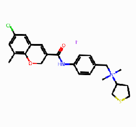 Cc1cc(Cl)cc2c1OCC(C(=O)Nc1ccc(C[N+](C)(C)C3CCSC3)cc1)=C2.[I-]